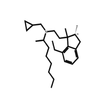 CCCCCCC(C)N(CCC1(C)c2c(CC)cccc2C[C@H]1C)CC1CC1